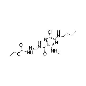 CCCCNc1nc(N)c(C(=O)NC=NNC(=O)OCC)nc1Cl